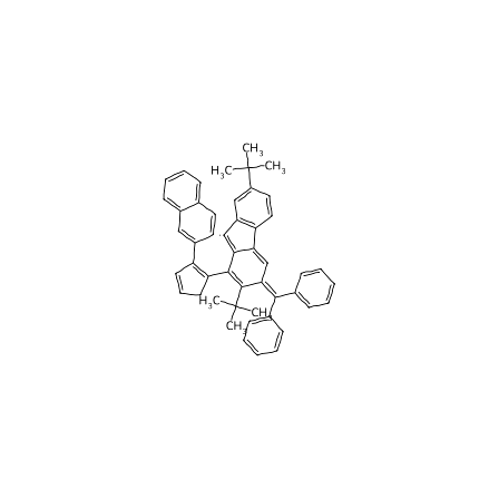 CC(C)(C)c1ccc2c(c1)[C]=c1c-2cc(=C(c2ccccc2)c2ccccc2)c(C(C)(C)C)c1C1=C(c2ccc3ccccc3c2)C=CC1